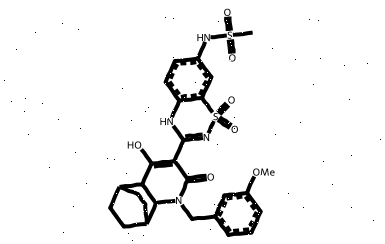 COc1cccc(CN2C(=O)C(C3=NS(=O)(=O)c4cc(NS(C)(=O)=O)ccc4N3)=C(O)C3C4CCC(CC4)C32)c1